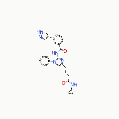 O=C(CCCc1cn(-c2ccccc2)c(NC(=O)c2cccc(-c3cn[nH]c3)c2)n1)NC1CC1